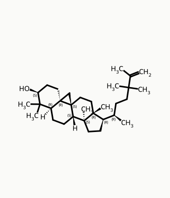 C=C(C)C(C)(C)CC[C@@H](C)[C@H]1CC[C@@]2(C)[C@@H]3CC[C@H]4C(C)(C)[C@@H](O)CC[C@@]45C[C@@]35CC[C@]12C